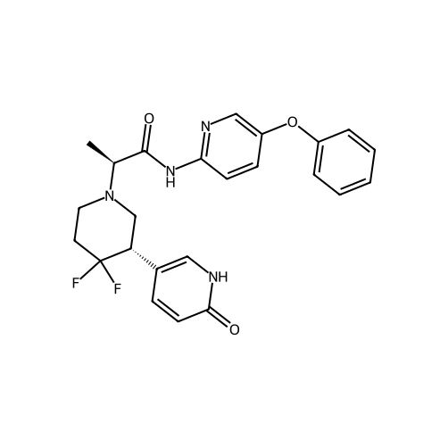 C[C@@H](C(=O)Nc1ccc(Oc2ccccc2)cn1)N1CCC(F)(F)[C@@H](c2ccc(=O)[nH]c2)C1